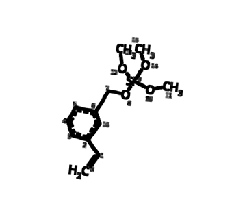 C=Cc1cccc(CO[Si](OC)(OC)OC)c1